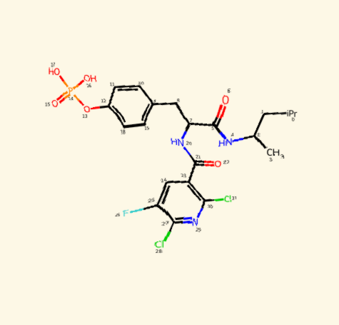 CC(C)CC(C)NC(=O)C(Cc1ccc(OP(=O)(O)O)cc1)NC(=O)c1cc(F)c(Cl)nc1Cl